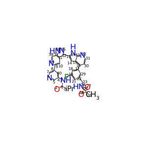 CC(C)C(=O)Nc1cncc(-c2cc3c(-c4cc5c(-c6cc(F)cc(CNS(C)(=O)=O)c6)ccnc5[nH]4)n[nH]c3cn2)c1